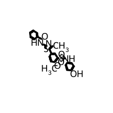 COc1ccc(-c2sc(NC(=O)c3ccccc3)nc2C)cc1S(=O)(=O)Nc1ccc(O)cc1